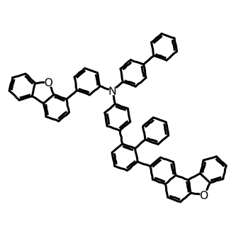 c1ccc(-c2ccc(N(c3ccc(-c4cccc(-c5ccc6c(ccc7oc8ccccc8c76)c5)c4-c4ccccc4)cc3)c3cccc(-c4cccc5c4oc4ccccc45)c3)cc2)cc1